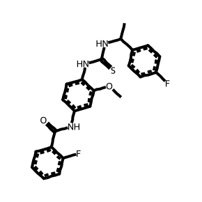 COc1cc(NC(=O)c2ccccc2F)ccc1NC(=S)NC(C)c1ccc(F)cc1